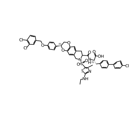 CCNc1nc(C)c(S(=O)(=O)N2Cc3cc4c(cc3CC2C(=O)N[C@@H](Cc2ccc(-c3ccc(Cl)cc3)cc2)C(=O)O)OC[C@H](c2ccc(OCc3ccc(Cl)c(Cl)c3)cc2)O4)s1